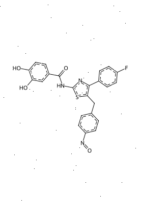 O=Nc1ccc(Cc2sc(NC(=O)c3ccc(O)c(O)c3)nc2-c2ccc(F)cc2)cc1